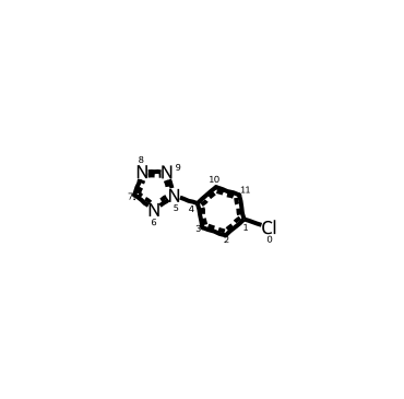 Clc1ccc(-n2n[c]nn2)cc1